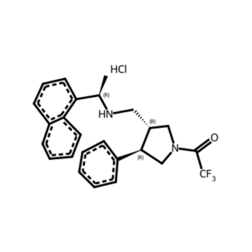 C[C@@H](NC[C@@H]1CN(C(=O)C(F)(F)F)C[C@H]1c1ccccc1)c1cccc2ccccc12.Cl